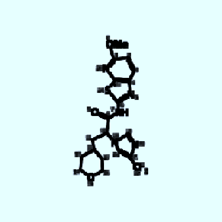 COc1ccc2nc(NC(=O)C(CC3CCOCC3)n3cnc(C(F)(F)F)c3)sc2n1